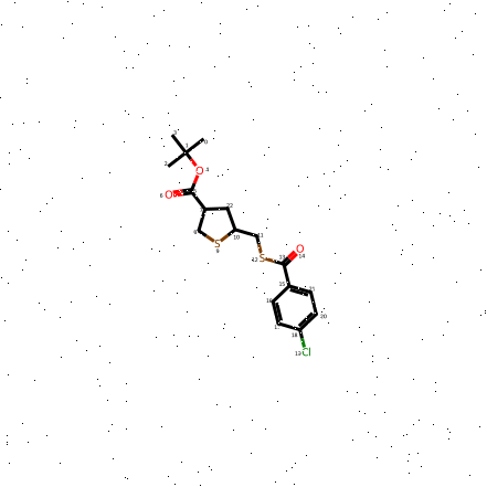 CC(C)(C)OC(=O)C1CSC(CSC(=O)c2ccc(Cl)cc2)C1